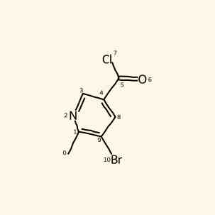 Cc1ncc(C(=O)Cl)cc1Br